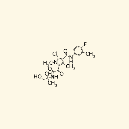 Cc1cc(NC(=O)c2c(C)c(C(=O)C(=O)NC(C)(C)CO)n(C)c2Cl)ccc1F